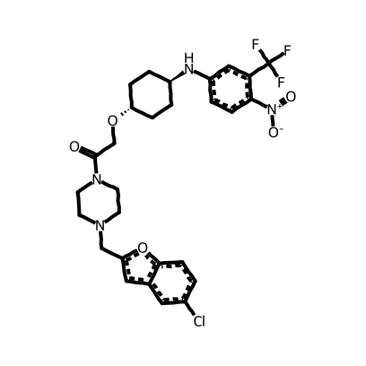 O=C(CO[C@H]1CC[C@H](Nc2ccc([N+](=O)[O-])c(C(F)(F)F)c2)CC1)N1CCN(Cc2cc3cc(Cl)ccc3o2)CC1